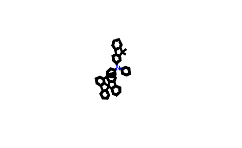 CC1(C)c2ccccc2-c2ccc(N(c3ccccc3)c3ccc(-c4cccc5c4C4(c6ccccc6-c6ccccc64)c4ccccc4-5)cc3)cc21